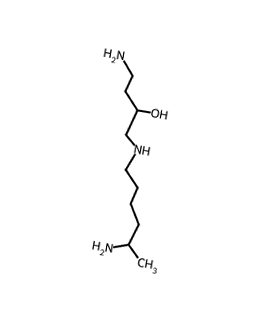 CC(N)CCCCNCC(O)CCN